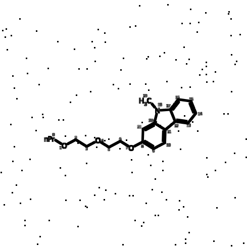 CCCOCCOCCOc1ccc2c3ccccc3n(C)c2c1